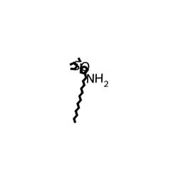 CCCCCCCCCCCCC(N)c1coc([Si](CC)(CC)CC)c1